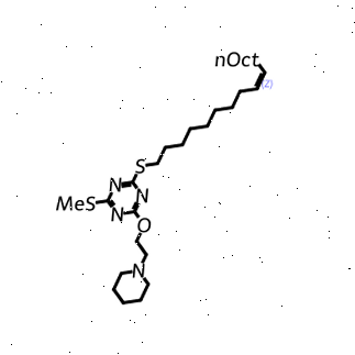 CCCCCCCC/C=C\CCCCCCCCSc1nc(OCCN2CCCCC2)nc(SC)n1